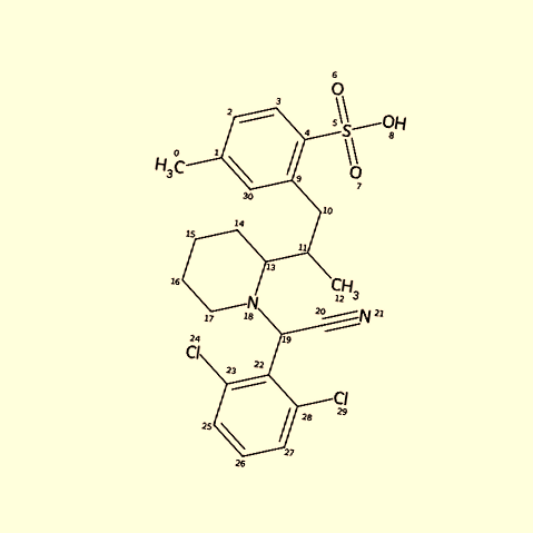 Cc1ccc(S(=O)(=O)O)c(CC(C)C2CCCCN2C(C#N)c2c(Cl)cccc2Cl)c1